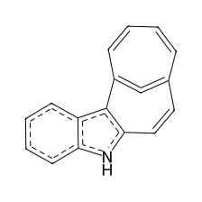 C1=C2C=CC=CC=1c1c([nH]c3ccccc13)C=C2